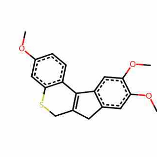 COc1ccc2c(c1)SCC1=C2c2cc(OC)c(OC)cc2C1